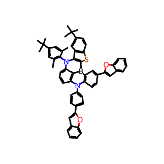 Cc1cc(C(C)(C)C)cc(C)c1N1c2cccc3c2B(c2cc(-c4cc5ccccc5o4)ccc2N3c2ccc(-c3cc4ccccc4o3)cc2)c2sc3ccc(C(C)(C)C)cc3c21